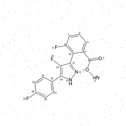 CCCOC(=O)c1cccc(F)c1-c1n[nH]c(-c2ccc(F)cc2)c1F